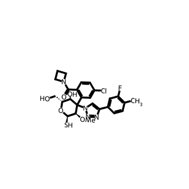 CO[C@H]1[C@@H](S)O[C@H](CO)[C@H](O)C1(c1cc(Cl)ccc1C(=O)N1CCC1)n1cc(-c2ccc(C)c(F)c2)nn1